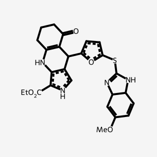 CCOC(=O)c1[nH]cc2c1NC1=C(C(=O)CCC1)C2c1ccc(SC2=NC3C=C(OC)C=CC3N2)o1